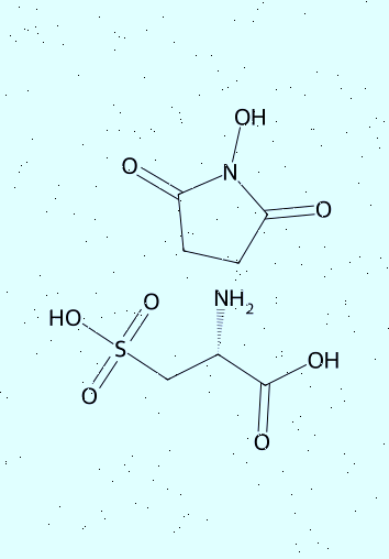 N[C@@H](CS(=O)(=O)O)C(=O)O.O=C1CCC(=O)N1O